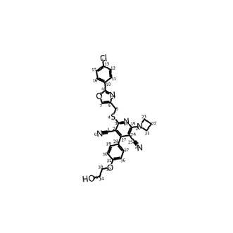 N#Cc1c(SCc2coc(-c3ccc(Cl)cc3)n2)nc(N2CCC2)c(C#N)c1-c1ccc(OCCO)cc1